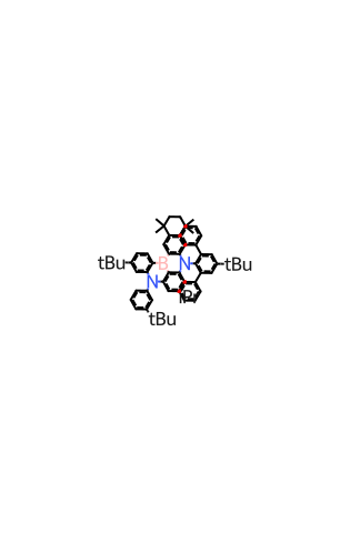 CC(C)c1cc2c3c(c1)N(c1c(-c4ccccc4)cc(C(C)(C)C)cc1-c1ccccc1)c1cc4c(cc1B3c1ccc(C(C)(C)C)cc1N2c1cccc(C(C)(C)C)c1)C(C)(C)CCC4(C)C